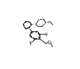 CC[C@H]1CC[C@H](c2ccccc2-c2cc(F)c(COC)c(F)c2)CC1